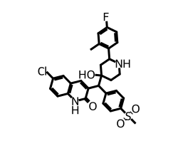 Cc1cc(F)ccc1C1CC(O)(C(c2ccc(S(C)(=O)=O)cc2)c2cc3cc(Cl)ccc3[nH]c2=O)CCN1